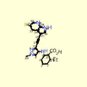 CC[C@@H]1CCC[C@H](Nc2cn(C)nc2C#Cc2c[nH]c3ncc(F)cc23)[C@H]1C(=O)O